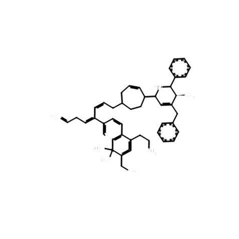 C=CC/C=C(\C=C/CC1CC=CC(C2C=C(Cc3ccccc3)[C@H](C)C(c3ccccc3)N2)CC1)C(/C=C\C1=CC(C)(C)C(CC)=C=C1CCC)=C/C